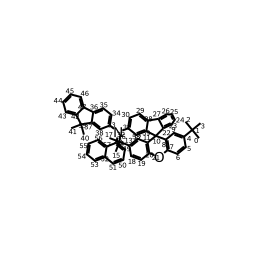 CC(C)(C)c1ccc2c(c1)C1(c3cc(C(C)(C)C)ccc3O2)c2ccccc2-c2ccc(N(c3ccc4c(c3)C(C)(C)c3ccccc3-4)c3cccc4ccccc34)cc21